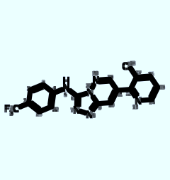 FC(F)(F)c1ccc(Nc2nnc3cc(-c4ncccc4Cl)cnn23)cc1